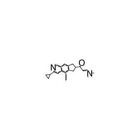 CN(C)/C=C/C(=O)C1Cc2cc3cnc(C4CC4)cc3c(I)c2C1